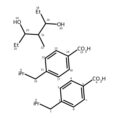 CC(C)Cc1ccc(C(=O)O)cc1.CC(C)Cc1ccc(C(=O)O)cc1.CCC(O)C(C)C(O)CC